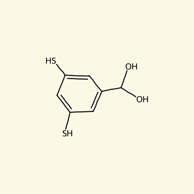 OC(O)c1cc(S)cc(S)c1